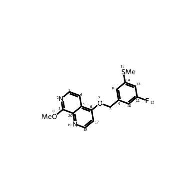 COc1nccc2c(OCc3cc(F)cc(SC)c3)ccnc12